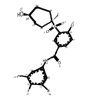 C[C@]1(S(=O)(=O)c2cc(C(=O)Nc3cc(F)c(F)c(F)c3)ccc2Cl)CC[C@@H](O)CC1